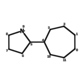 C1CCCC(C2CCC[N]2)CC1